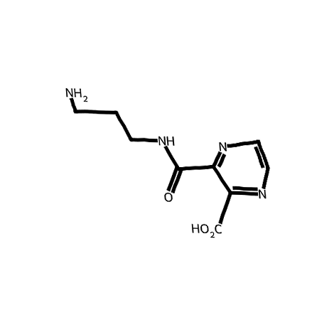 NCCCNC(=O)c1nccnc1C(=O)O